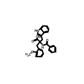 COc1ccccc1CC(Cc1c[nH]c2ccccc12)(NC(=O)c1ccccc1)C(=O)O